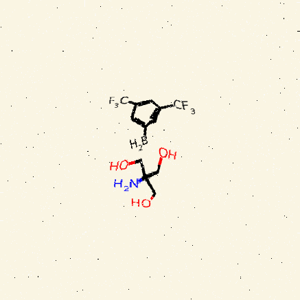 Bc1cc(C(F)(F)F)cc(C(F)(F)F)c1.NC(CO)(CO)CO